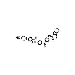 C=Cn1c(C(=O)Nc2ccc(C(=O)c3ccc(NC(=O)c4ccc(N5CCC(O)CC5)cc4)cc3)cc2)cc2c1CCCC2